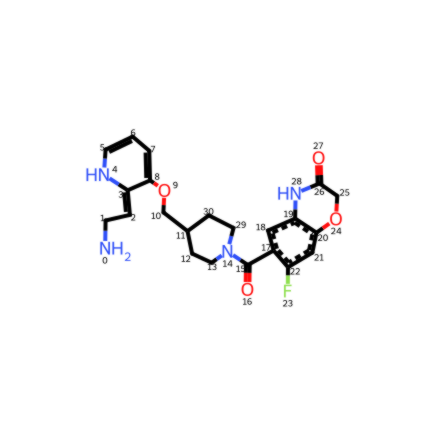 NC/C=C1\NC=CC=C1OCC1CCN(C(=O)c2cc3c(cc2F)OCC(=O)N3)CC1